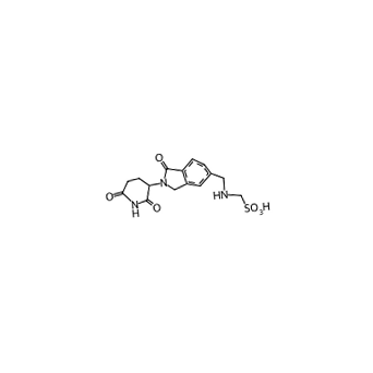 O=C1CCC(N2Cc3cc(CNCS(=O)(=O)O)ccc3C2=O)C(=O)N1